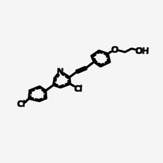 OCCOc1ccc(C#Cc2ncc(-c3ccc(Cl)cc3)cc2Cl)cc1